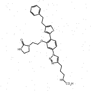 O=C(O)NCCCc1cn(-c2ccc(-c3nc(CCc4ccccc4)cs3)c(OCCN3CCNC3=O)c2)nn1